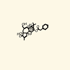 CC1=C[C@H]2[C@@]3(O)[C@H](C)[C@@H](OC(=O)Cc4ccccc4)[C@]4(O)[C@@H]([C@@H]3C=C(CO)C[C@]2(O)C1=O)C4(C)C